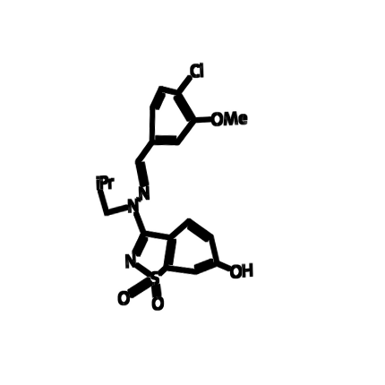 COc1cc(/C=N/N(CC(C)C)C2=NS(=O)(=O)c3cc(O)ccc32)ccc1Cl